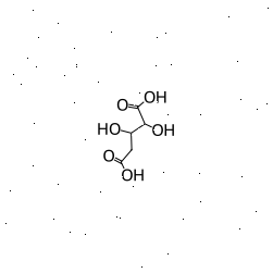 O=C(O)CC(O)C(O)C(=O)O